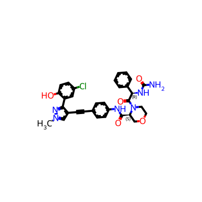 Cn1cc(C#Cc2ccc(NC(=O)[C@@H]3COCCN3C(=O)[C@H](NC(N)=O)c3ccccc3)cc2)c(-c2cc(Cl)ccc2O)n1